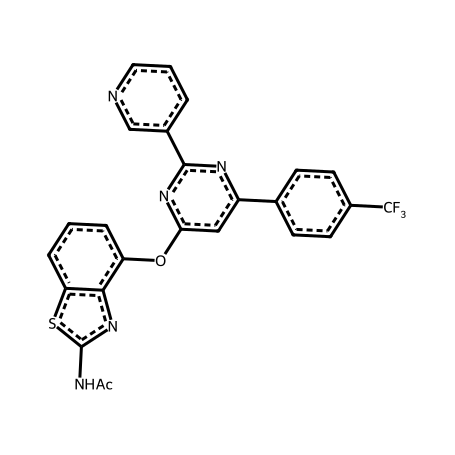 CC(=O)Nc1nc2c(Oc3cc(-c4ccc(C(F)(F)F)cc4)nc(-c4cccnc4)n3)cccc2s1